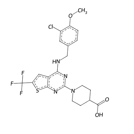 COc1ccc(CNc2nc(N3CCC(C(=O)O)CC3)nc3sc(C(F)(F)F)cc23)cc1Cl